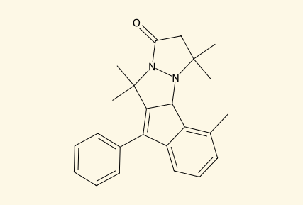 Cc1cccc2c1C1C(=C2c2ccccc2)C(C)(C)N2C(=O)CC(C)(C)N12